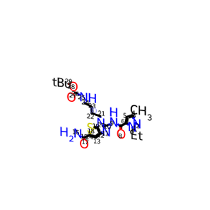 CCn1nc(C)cc1C(=O)Nc1nc2cc(C(N)=O)sc2n1C/C=C/CNC(=O)OC(C)(C)C